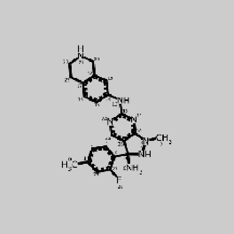 Cc1ccc(C2(N)NN(C)c3nc(Nc4ccc5c(c4)CNCC5)ncc32)c(F)c1